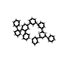 c1ccc(-c2cc(-c3ccccc3)nc(-c3cccc(-c4cccc(-c5ccc(-c6ccccc6-c6ccccc6)c(-c6ccccc6)c5)c4)c3)n2)cc1